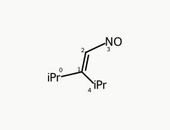 CC(C)C(=CN=O)C(C)C